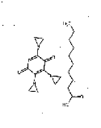 CCCCCCCCCC(=O)O.O=C1C=C(N2CC2)C(=O)C(N2CC2)=C1N1CC1